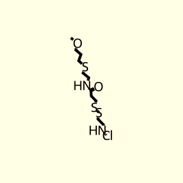 COCCCSCCNC(=O)CCSSCCNCl